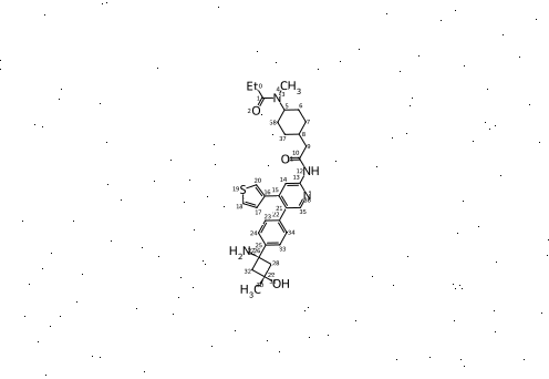 CCC(=O)N(C)C1CCC(CC(=O)Nc2cc(-c3ccsc3)c(-c3ccc([C@]4(N)C[C@](C)(O)C4)cc3)cn2)CC1